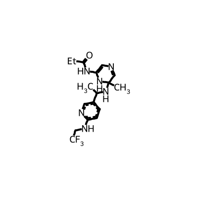 CCC(=O)NC1=CN=CC(C)(NC(C)c2ccc(NCC(F)(F)F)nc2)N1